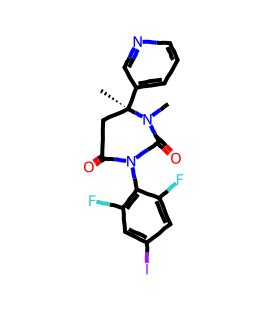 CN1C(=O)N(c2c(F)cc(I)cc2F)C(=O)C[C@@]1(C)c1cccnc1